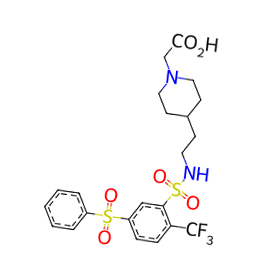 O=C(O)CN1CCC(CCNS(=O)(=O)c2cc(S(=O)(=O)c3ccccc3)ccc2C(F)(F)F)CC1